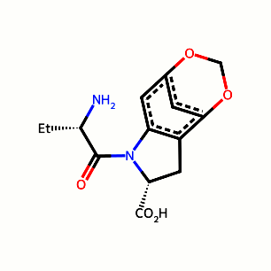 CC[C@H](N)C(=O)N1c2cc3cc(c2C[C@@H]1C(=O)O)OCO3